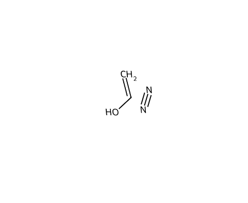 C=CO.N#N